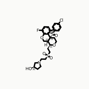 O=S(=O)(CC[C@@H]1OCC[C@@]2(S(=O)(=O)c3ccc(Cl)cc3)c3c(F)ccc(F)c3OC[C@@H]12)CCN1CC[C@@H](O)C1